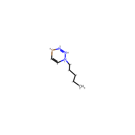 CCCCCN1C=CSN=N1